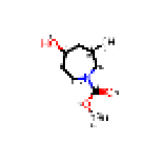 C[C@@H]1CC(O)CCN(C(=O)OC(C)(C)C)C1